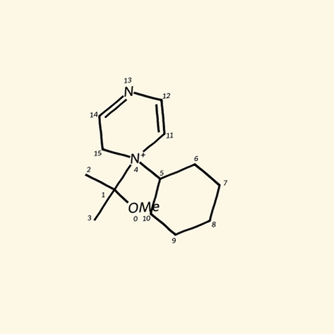 COC(C)(C)[N+]1(C2CCCCC2)C=CN=CC1